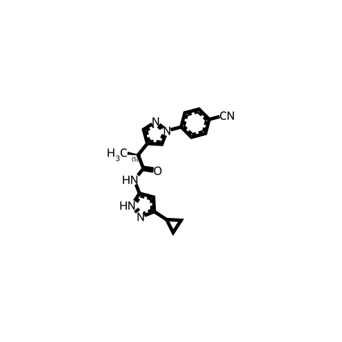 C[C@H](C(=O)Nc1cc(C2CC2)n[nH]1)c1cnn(-c2ccc(C#N)cc2)c1